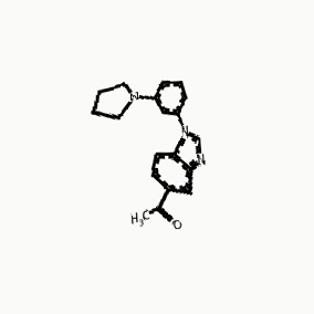 CC(=O)c1ccc2c(c1)ncn2-c1cccc(N2CCCC2)c1